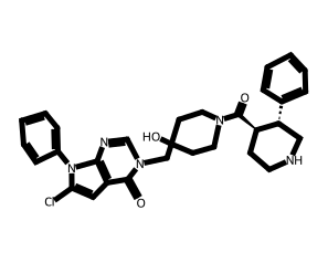 O=C([C@@H]1CCNC[C@H]1c1ccccc1)N1CCC(O)(Cn2cnc3c(cc(Cl)n3-c3ccccc3)c2=O)CC1